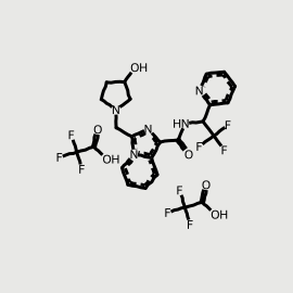 O=C(NC(c1ccccn1)C(F)(F)F)c1nc(CN2CCC(O)C2)n2ccccc12.O=C(O)C(F)(F)F.O=C(O)C(F)(F)F